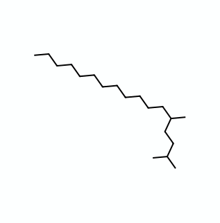 CCCCCCCCCCCCC(C)CCC(C)C